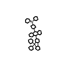 c1ccc(N(c2ccccc2)c2ccc(-c3c4ccccc4c(-c4ccc5c(c4)C(c4ccccc4)(c4ccccc4)c4ccccc4-5)c4ccccc34)cc2)cc1